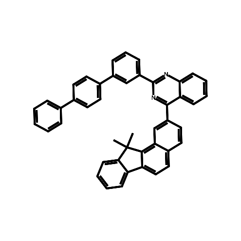 CC1(C)c2ccccc2-c2ccc3ccc(-c4nc(-c5cccc(-c6ccc(-c7ccccc7)cc6)c5)nc5ccccc45)cc3c21